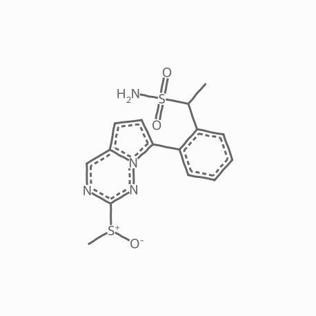 CC(c1ccccc1-c1ccc2cnc([S+](C)[O-])nn12)S(N)(=O)=O